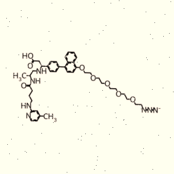 Cc1ccnc(NCCCC(=O)N[C@@H](C)CN[C@@H](CC(=O)O)c2ccc(-c3ccc(OCCOCCOCCOCCOCCN=[N+]=[N-])c4ccccc34)cc2)c1